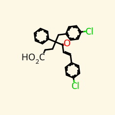 O=C(O)CCC(Cc1ccc(Cl)cc1)(C(=O)/C=C/c1ccc(Cl)cc1)c1ccccc1